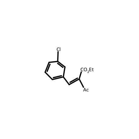 CCOC(=O)/C(=C\c1cccc(Cl)c1)C(C)=O